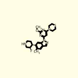 COc1nc(N2CCSCC2)cc(-n2ncc3cc(C)c([C@@H]4CCNC[C@@H]4F)cc32)n1